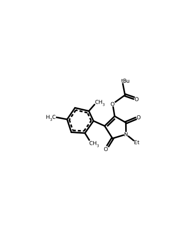 CCN1C(=O)C(OC(=O)C(C)(C)C)=C(c2c(C)cc(C)cc2C)C1=O